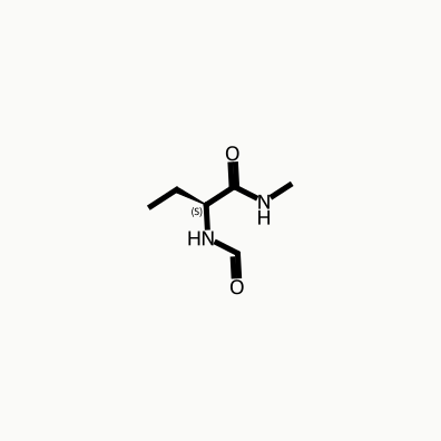 CC[C@H](NC=O)C(=O)NC